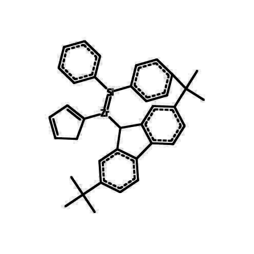 CC(C)(C)c1ccc2c(c1)[CH]([Zr]([C]1=CC=CC1)=[Si](c1ccccc1)c1ccccc1)c1cc(C(C)(C)C)ccc1-2